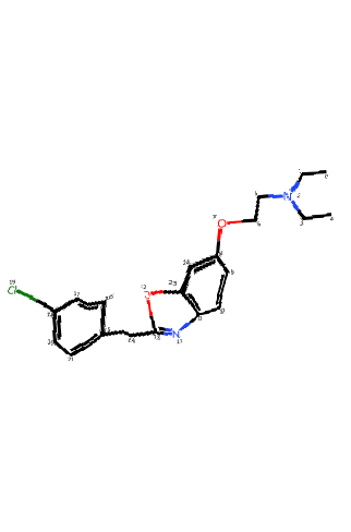 CCN(CC)CCOc1ccc2nc(Cc3ccc(Cl)cc3)oc2c1